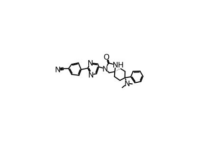 CN(C)[C@]1(c2ccccc2)CC[C@]2(CC1)CN(c1cnc(-c3ccc(C#N)cc3)nc1)C(=O)N2